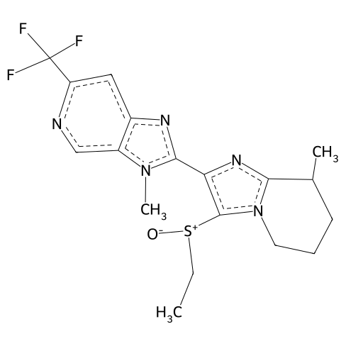 CC[S+]([O-])c1c(-c2nc3cc(C(F)(F)F)ncc3n2C)nc2n1CCCC2C